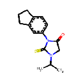 CC(C)N1CC(=O)N(c2ccc3c(c2)CCC3)C1=S